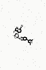 Cc1cc(-c2ccc3c(c2)CN(C[C@H]2CN(c4ccc(C#N)n5ncc(F)c45)C[C@@H](C)O2)C3)cc(C)n1